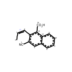 C/C=C\c1c(C#N)cc2ccccc2c1C(=O)O